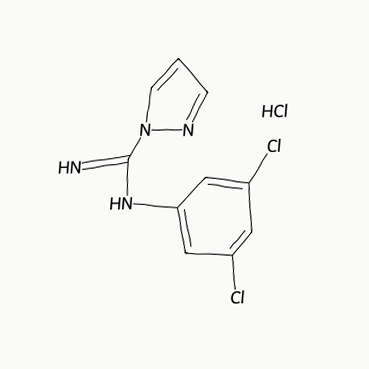 Cl.N=C(Nc1cc(Cl)cc(Cl)c1)n1cccn1